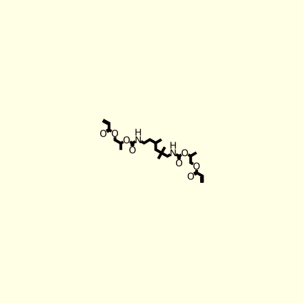 C=CC(=O)OCC(C)OC(=O)NCCC(C)CC(C)(C)CNC(=O)OC(C)COC(=O)C=C